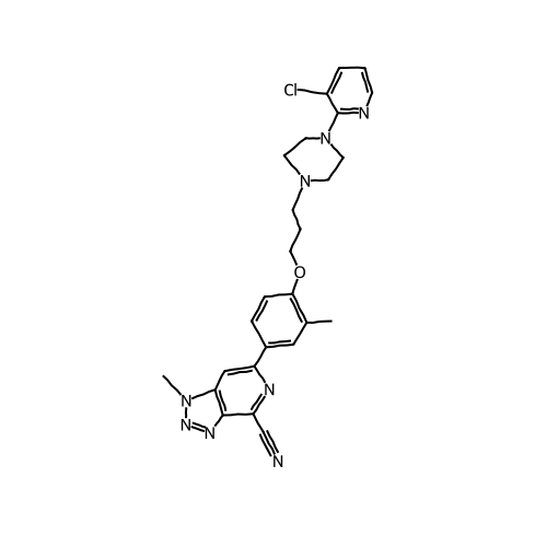 Cc1cc(-c2cc3c(nnn3C)c(C#N)n2)ccc1OCCCN1CCN(c2ncccc2Cl)CC1